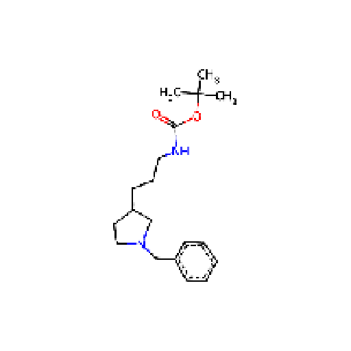 CC(C)(C)OC(=O)NCCCC1CCN(Cc2ccccc2)C1